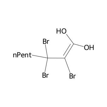 CCCCCC(Br)(Br)C(Br)=C(O)O